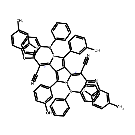 Cc1ccc2oc(/C(C#N)=c3/c4c(-c5cccc(O)c5)n(B(c5ccccc5)c5ccccc5)/c(=C(/C#N)c5nc6cc(C)ccc6o5)c4c(-c4cccc(O)c4)n3B(c3ccccc3)c3ccccc3)nc2c1